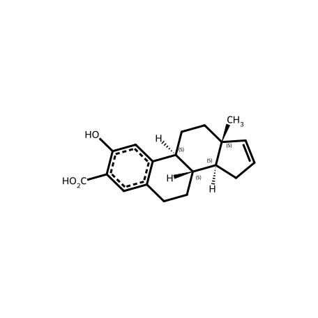 C[C@@]12C=CC[C@H]1[C@@H]1CCc3cc(C(=O)O)c(O)cc3[C@H]1CC2